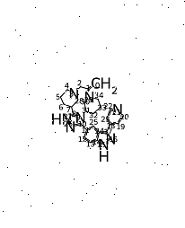 C=C(CN1CCCC(c2nc(-c3ccc4[nH]nc(-c5ccncc5)c4c3)n[nH]2)C1)N1CCCCC1